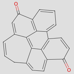 O=c1cc2c3c4c(ccc5c(=O)ccc(c6cccc1c63)c54)CC=C2